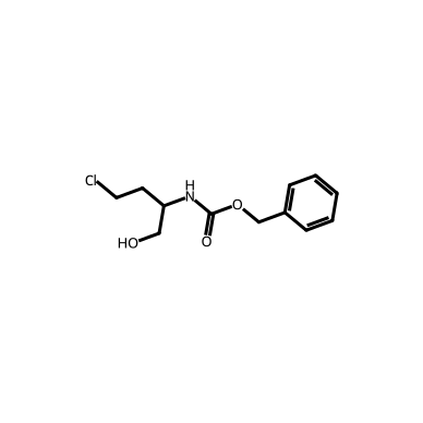 O=C(NC(CO)CCCl)OCc1ccccc1